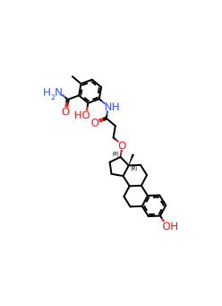 Cc1ccc(NC(=O)CCO[C@@H]2CCC3C4CCc5cc(O)ccc5C4CC[C@]32C)c(O)c1C(N)=O